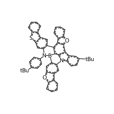 CC(C)(C)c1ccc(N2B3c4cc5oc6ccccc6c5cc4-n4c5ccc(C(C)(C)C)cc5c5c6oc7ccccc7c6c(c3c54)-c3cc4c(cc32)sc2ccccc24)cc1